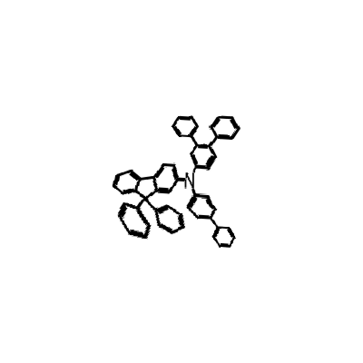 c1ccc(-c2ccc(N(c3ccc(-c4ccccc4)c(-c4ccccc4)c3)c3ccc4c(c3)C(c3ccccc3)(c3ccccc3)c3ccccc3-4)cc2)cc1